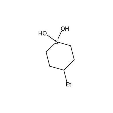 [CH2]CC1CCS(O)(O)CC1